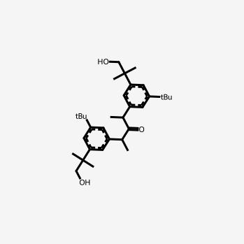 CC(C(=O)C(C)c1cc(C(C)(C)C)cc(C(C)(C)CO)c1)c1cc(C(C)(C)C)cc(C(C)(C)CO)c1